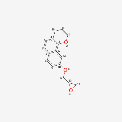 C1=COc2c(ccc3ccc(OCC4CO4)cc23)C1